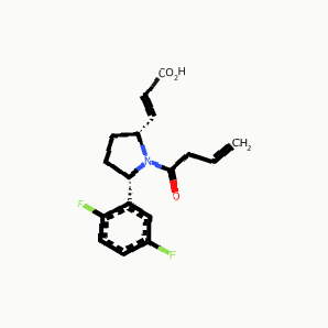 C=CCC(=O)N1[C@@H](C=CC(=O)O)CC[C@H]1c1cc(F)ccc1F